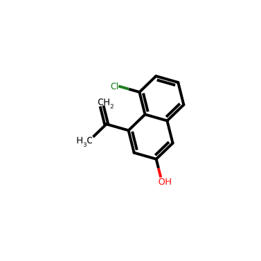 C=C(C)c1cc(O)cc2cccc(Cl)c12